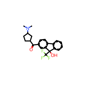 CN(C)C1CCC(C(=O)c2ccc3c(c2)C(O)(C(F)(F)F)c2ccccc2-3)C1